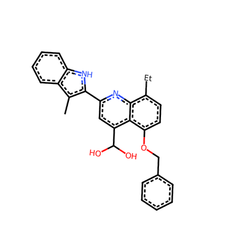 CCc1ccc(OCc2ccccc2)c2c(C(O)O)cc(-c3[nH]c4ccccc4c3C)nc12